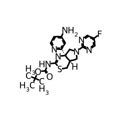 CC(C)(C)OC(=O)NC1=N[C@@]2(c3cc(N)ccn3)CN(c3ncc(F)cn3)C[C@H]2CS1